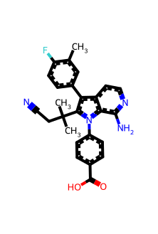 Cc1cc(-c2c(C(C)(C)CC#N)n(-c3ccc(C(=O)O)cc3)c3c(N)nccc23)ccc1F